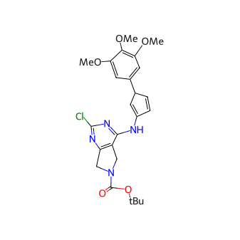 COc1cc(C2C=CC(Nc3nc(Cl)nc4c3CN(C(=O)OC(C)(C)C)C4)=C2)cc(OC)c1OC